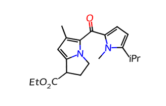 CCOC(=O)C1CCn2c1cc(C)c2C(=O)c1ccc(C(C)C)n1C